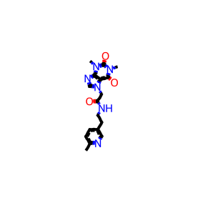 Cc1ccc(CCNC(=O)Cn2cnc3c2c(=O)n(C)c(=O)n3C)cn1